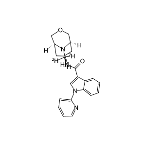 [2H]C([2H])([2H])N1[C@@H]2COC[C@H]1C[C@@H](NC(=O)c1cn(-c3ccccn3)c3ccccc13)C2